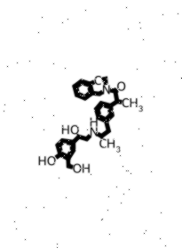 CC(C(=O)N1CCc2ccccc2C1)c1cccc(C[C@@H](C)NC[C@@H](O)c2ccc(O)c(CO)c2)c1